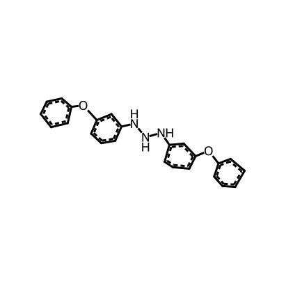 c1ccc(Oc2cccc(NNNc3cccc(Oc4ccccc4)c3)c2)cc1